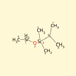 C[SiH2]O[Si](C)(C)[C](C)C